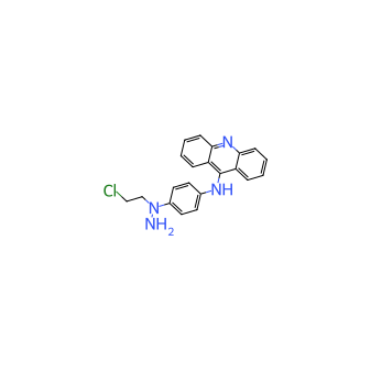 NN(CCCl)c1ccc(Nc2c3ccccc3nc3ccccc23)cc1